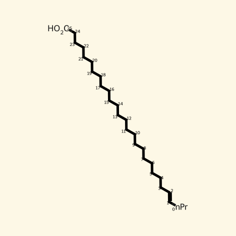 CCCC=CCCCCCCCCCCCCCCCCCCCCCCC(=O)O